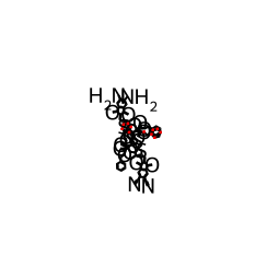 N#Cc1cc2c(cc1C#N)C(=O)C(=Cc1cc3c(s1)-c1sc4c5c(sc4c1C(C(=O)OCc1ccccc1)(C(=O)OCc1ccccc1)O3)-c1sc(C=C3C(=O)c4cc(N)c(N)cc4C3=O)cc1OC5(C(=O)OCc1ccccc1)C(=O)OCc1ccccc1)C2=O